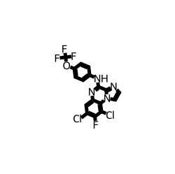 Fc1c(Cl)cc2nc(Nc3ccc(OC(F)(F)F)cc3)c3nccn3c2c1Cl